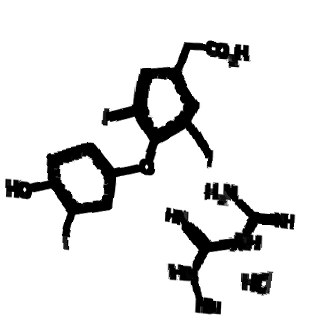 CCCCNC(=N)NC(=N)N.Cl.O=C(O)Cc1cc(I)c(Oc2ccc(O)c(I)c2)c(I)c1